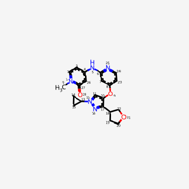 Cn1ccc(Nc2cc(Oc3cn(C4CC4)nc3C3CCOC3)ccn2)cc1=O